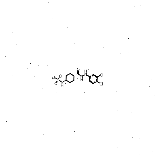 CCS(=O)(=O)N[C@H]1CC[C@H](C(=O)NNc2ccc(Cl)c(Cl)c2)CC1